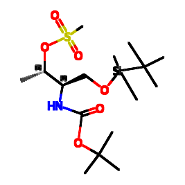 C[C@H](OS(C)(=O)=O)[C@@H](CO[Si](C)(C)C(C)(C)C)NC(=O)OC(C)(C)C